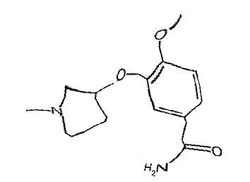 COc1ccc(C(N)=O)cc1OC1CCN(C)C1